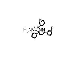 NCCCC1(c2ccccc2)C#CC(c2cccc(F)c2)=NN1C(=O)c1cccnc1